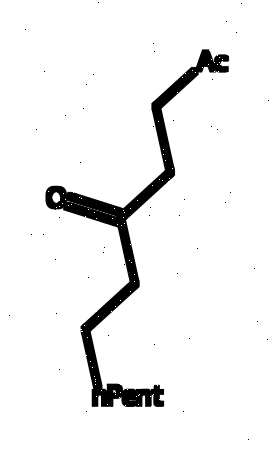 CCCCCCCC(=O)CCC(C)=O